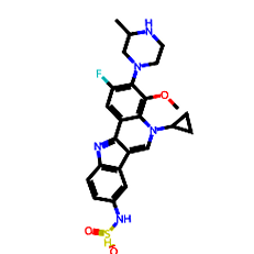 COc1c(N2CCNC(C)C2)c(F)cc2c3nc4ccc(N[SH](=O)=O)cc4c-3cn(C3CC3)c12